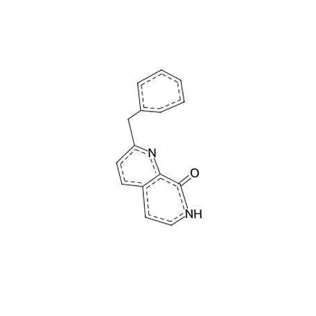 O=c1[nH]ccc2ccc(Cc3ccccc3)nc12